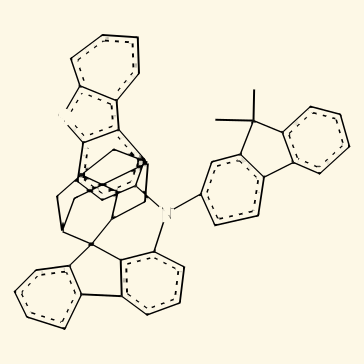 CC1(C)c2ccccc2-c2ccc(N(c3ccc4sc5ccccc5c4c3)c3cccc4c3C3(c5ccccc5-4)C4CC5CC(C4)CC3C5)cc21